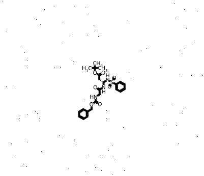 CC(C)(C)OC(=O)C[C@@H](NC(=O)CNC(=O)OCc1ccccc1)NS(=O)(=O)c1ccccc1